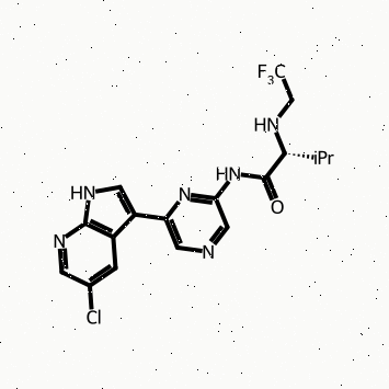 CC(C)[C@@H](NCC(F)(F)F)C(=O)Nc1cncc(-c2c[nH]c3ncc(Cl)cc23)n1